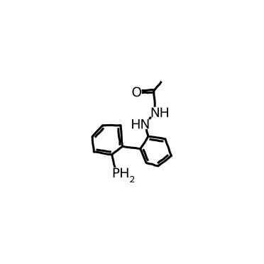 CC(=O)NNc1ccccc1-c1ccccc1P